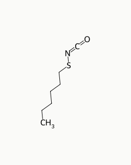 CCCCCCSN=C=O